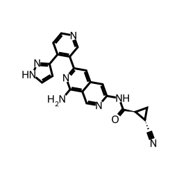 N#C[C@H]1C[C@@H]1C(=O)Nc1cc2cc(-c3cnccc3-c3cc[nH]n3)nc(N)c2cn1